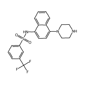 O=S(=O)(Nc1ccc(N2CCNCC2)c2ccccc12)c1cccc(C(F)(F)F)c1